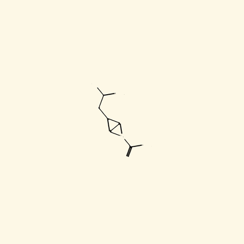 C=C(C)N1C2C(CC(C)C(C)=O)C21